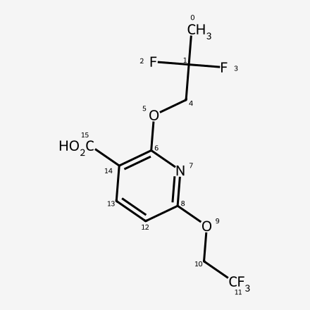 CC(F)(F)COc1nc(OCC(F)(F)F)ccc1C(=O)O